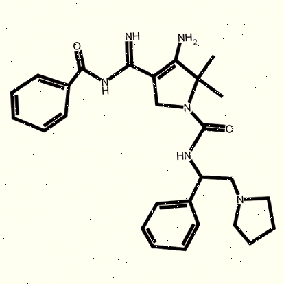 CC1(C)C(N)=C(C(=N)NC(=O)c2ccccc2)CN1C(=O)NC(CN1CCCC1)c1ccccc1